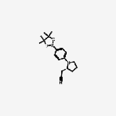 CC1(C)OB(c2ccc(N3CCC[C@H]3CC#N)cc2)OC1(C)C